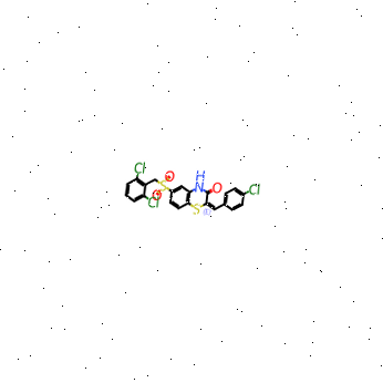 O=C1Nc2cc(S(=O)(=O)Cc3c(Cl)cccc3Cl)ccc2S/C1=C/c1ccc(Cl)cc1